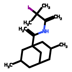 C=C(NC(=C)C12CC(C)CC(CC(C)C1)C2)C(C)(C)I